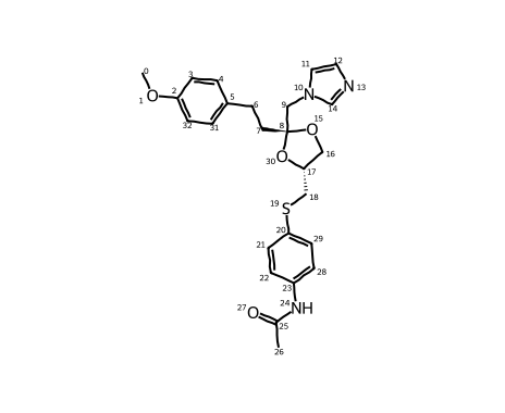 COc1ccc(CC[C@@]2(Cn3ccnc3)OC[C@H](CSc3ccc(NC(C)=O)cc3)O2)cc1